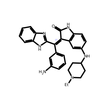 CCN1CCC(Nc2ccc3c(c2)/C(=C(\c2cccc(N)c2)c2nc4ccccc4[nH]2)C(=O)N3)CC1